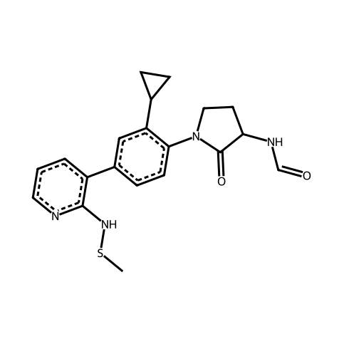 CSNc1ncccc1-c1ccc(N2CCC(NC=O)C2=O)c(C2CC2)c1